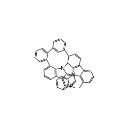 Cc1cccc2c3c(n(-c4cccc[n+]4C)c12)C1C(C=C3)c2cccc(c2)-c2ccccc2-c2cccc3c4ccccc4n1c23